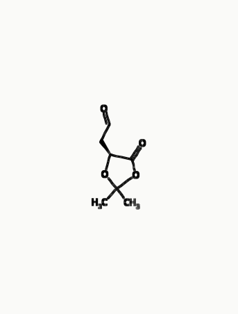 CC1(C)OC(=O)[C@H](CC=O)O1